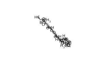 C#CCCC[N+](C)([O-])C(Br)=CC(Cl)CCCC(=O)NCCOCCOCCC(=O)NCCNc1cc(Nc2ncc(C(=O)Nc3c(C)cccc3Cl)s2)nc(C)n1